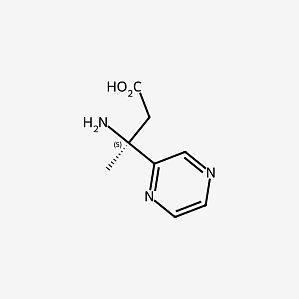 C[C@](N)(CC(=O)O)c1cnccn1